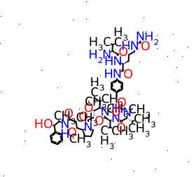 CC[C@@H](C)[C@H]([C@H](CC(=O)N1CCCC1[C@@H](OC)[C@H](C)C(=O)N[C@@H](C)[C@H](O)c1ccccc1)OC)N(C)C(=O)[C@H](NC(=O)[C@@H](C(C)C)N(C)C(=O)OCc1ccc(NC(=O)[C@H](CCCNC(N)=O)NC(=O)[C@@H](N)C(C)C)cc1)C(C)C